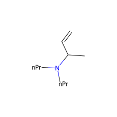 C=CC(C)N(CCC)CCC